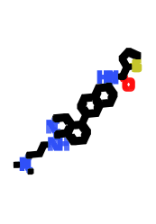 CN(C)CCCNc1nccc2c(-c3ccc4cc(NC(=O)C5CC=CS5)ccc4c3)cccc12